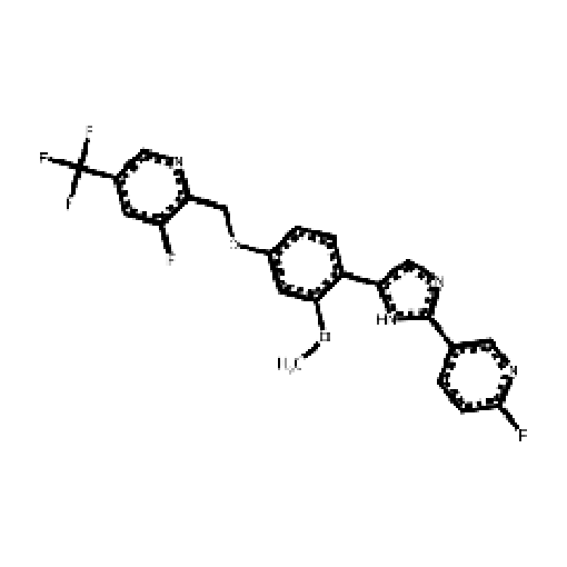 COc1cc(OCc2ncc(C(F)(F)F)cc2F)ccc1-c1cnc(-c2ccc(F)nc2)[nH]1